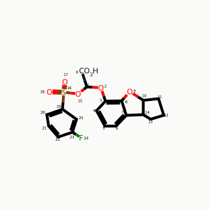 O=C(O)C(Oc1cccc2c1OC1CCCC21)OS(=O)(=O)c1cccc(F)c1